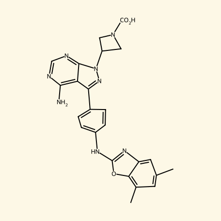 Cc1cc(C)c2oc(Nc3ccc(-c4nn(C5CN(C(=O)O)C5)c5ncnc(N)c45)cc3)nc2c1